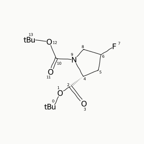 CC(C)(C)OC(=O)[C@H]1CC(F)CN1C(=O)OC(C)(C)C